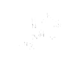 Nc1cccc(S(=O)(=O)N(C[C@H](O)[C@H](Cc2ccccc2)NC(=O)O[C@H]2CO[C@H]3OCCC[C@H]32)OC2CCCC2)c1